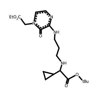 CCOC(=O)Cn1ccnc(NCCCNC(C(=O)OC(C)(C)C)C2CC2)c1=O